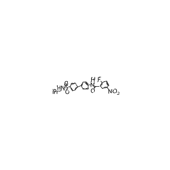 CC(C)CNS(=O)(=O)c1ccc(-c2ccc(NC(=O)c3cc([N+](=O)[O-])ccc3F)cc2)cc1